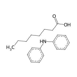 CCCCCCCC(=O)O.c1ccc(Nc2ccccc2)cc1